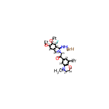 Br.CCOc1cc2c(c(F)c1OCC)C(=N)N(CC(=O)c1cc(C(C)C)c3c(c1)N(C)CCO3)C2